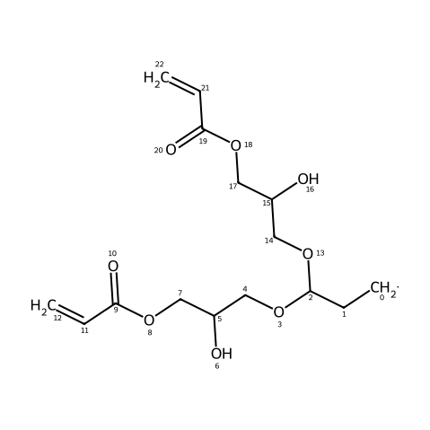 [CH2]CC(OCC(O)COC(=O)C=C)OCC(O)COC(=O)C=C